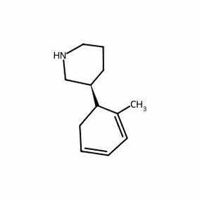 CC1=CC=CCC1[C@@H]1CCCNC1